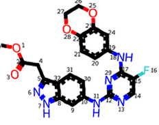 COC(=O)Cc1n[nH]c2cc(Nc3ncc(F)c(Nc4ccc5c(c4)OCCO5)n3)ccc12